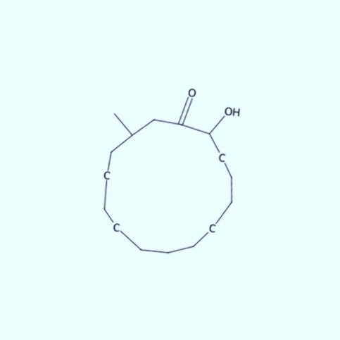 CC1CCCCCCCCCCCC(O)C(=O)C1